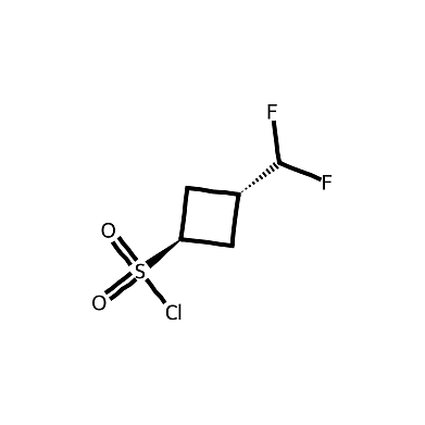 O=S(=O)(Cl)[C@H]1C[C@H](C(F)F)C1